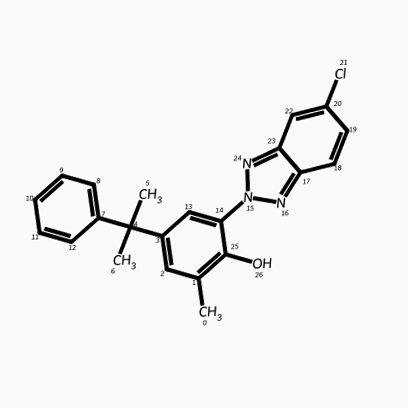 Cc1cc(C(C)(C)c2ccccc2)cc(-n2nc3ccc(Cl)cc3n2)c1O